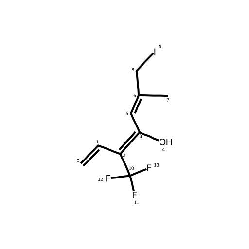 C=C/C(=C(O)\C=C(/C)CI)C(F)(F)F